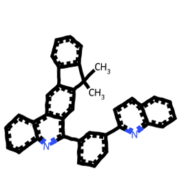 CC1(C)c2ccccc2-c2cc3c(cc21)c(-c1cccc(-c2ccc4ccccc4n2)c1)nc1ccccc13